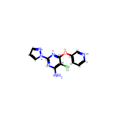 Nc1nc(-n2cccn2)nc(Oc2cccnc2)c1Br